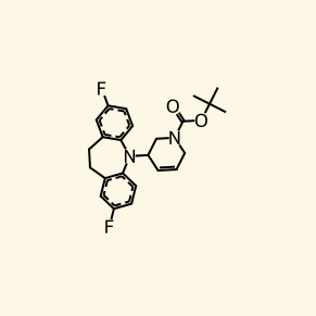 CC(C)(C)OC(=O)N1CC=CC(N2c3ccc(F)cc3CCc3cc(F)ccc32)C1